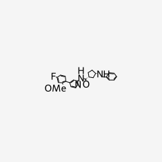 COc1cc(F)ccc1-c1ccnc(NC(=O)[C@@H]2CC[C@H](NCc3ccccc3)C2)c1